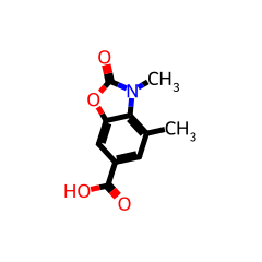 Cc1cc(C(=O)O)cc2oc(=O)n(C)c12